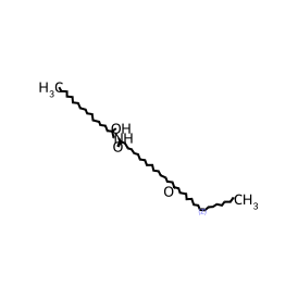 CCCCCCCC/C=C\CCCCCCCC(=O)CCCCCCCCCCCCCCCC(=O)NCC(O)CCCCCCCCCCCCCCCC